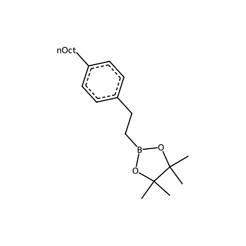 CCCCCCCCc1ccc(CCB2OC(C)(C)C(C)(C)O2)cc1